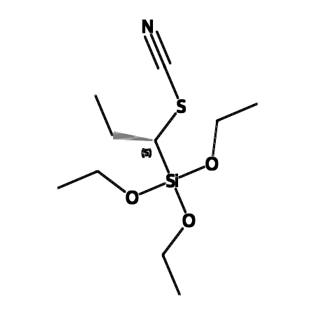 CCO[Si](OCC)(OCC)[C@H](CC)SC#N